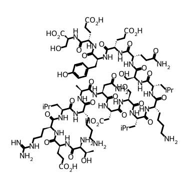 CC(C)C[C@H](NC(=O)[C@H](CCCNC(=N)N)NC(=O)[C@H](CCC(=O)O)NC(=O)[C@@H](N)[C@@H](C)O)C(=O)N[C@@H](CCCCN)C(=O)N[C@@H](C)C(=O)N[C@@H](CC(N)=O)C(=O)N[C@@H](CC(=O)O)C(=O)N[C@@H](CO)C(=O)N[C@@H](CC(C)C)C(=O)N[C@@H](CCCCN)C(=O)N[C@@H](CC(C)C)C(=O)N[C@@H](CO)C(=O)N[C@@H](CCC(N)=O)C(=O)N[C@@H](CCC(=O)O)C(=O)N[C@@H](Cc1ccc(O)cc1)C(=O)N[C@@H](CCC(=O)O)C(=O)N[C@@H](CO)C(=O)O